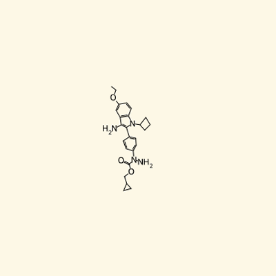 CCOc1ccc2c(c1)c(N)c(-c1ccc(N(N)C(=O)OCC3CC3)cc1)n2C1CCC1